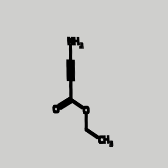 CCOC(=O)C#CN